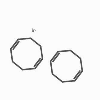 C1=CCCC=CCC1.C1=CCCC=CCC1.[Ir]